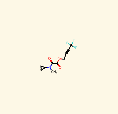 CN(C(=O)C(=O)OCC#CC(F)(F)F)C1CC1